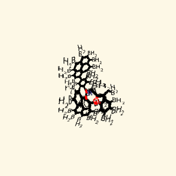 BCc1c(/C(B)=C(\C#C)c2c(B)c(B)c(-c3c(B)c(B)c4c(B)c(B)c5c(B)c(B)c(B)c6c(B)c(B)c3c4c56)c(B)c2-c2c(B)c(B)c3c(B)c(B)c4c(B)c(B)c(B)c5c(B)c(B)c2c3c45)oc2c(B)c(B)c(B)c(B)c12